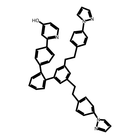 Oc1ccnc(-c2ccc(-c3ccccc3-c3cc(CCc4ccc(-n5cccn5)cc4)cc(CCc4ccc(-n5cccn5)cc4)c3)cc2)c1